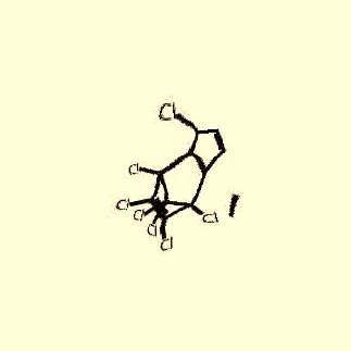 CC.ClC1=C(Cl)C2(Cl)C3C(Cl)C=CC3C1(Cl)C2(Cl)Cl